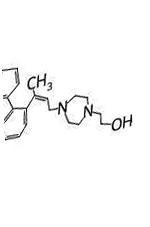 CC(=CCN1CCN(CCO)CC1)c1ccccc1-c1ccccc1